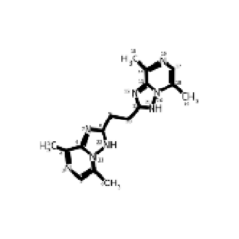 CC1=CN=C(C)C2=NC(CCC3N=C4C(C)=NC=C(C)N4N3)NN12